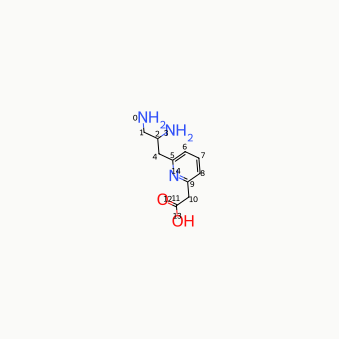 NCC(N)Cc1cccc(CC(=O)O)n1